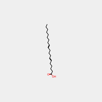 CCCCCCCC/C=C/CCC/C=C/CCCCC(=O)O